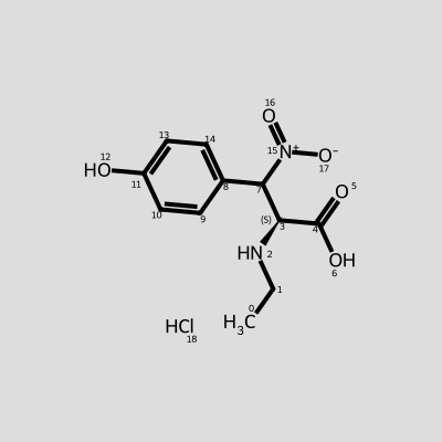 CCN[C@H](C(=O)O)C(c1ccc(O)cc1)[N+](=O)[O-].Cl